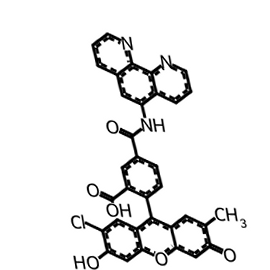 Cc1cc2c(-c3ccc(C(=O)Nc4cc5cccnc5c5ncccc45)cc3C(=O)O)c3cc(Cl)c(O)cc3oc-2cc1=O